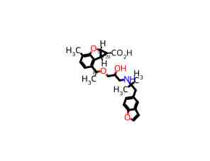 Cc1ccc([C@@H](C)OCC(O)CNC(C)(C)Cc2ccc3occc3c2)c2c1O[C@@H]1[C@@H](C(=O)O)[C@H]21